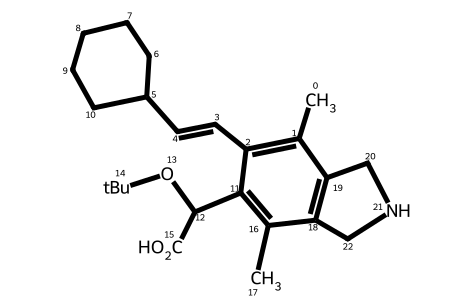 Cc1c(/C=C/C2CCCCC2)c(C(OC(C)(C)C)C(=O)O)c(C)c2c1CNC2